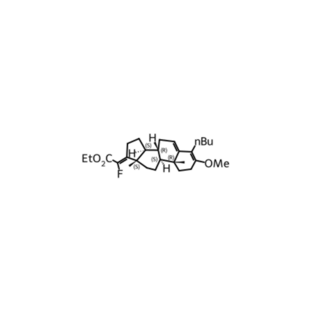 CCCCC1=C(OC)CC[C@@]2(C)C1=CC[C@@H]1[C@@H]2CC[C@]2(C)C(=C(F)C(=O)OCC)CC[C@@H]12